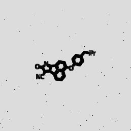 CC(C)Cc1ccc(Oc2ccc3c4c(cccc24)C2=C(C#N)C(=O)N=C23)cc1